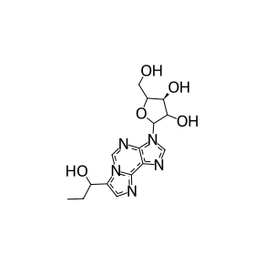 CCC(O)c1cnc2c3ncn(C4OC(CO)[C@@H](O)C4O)c3ncn12